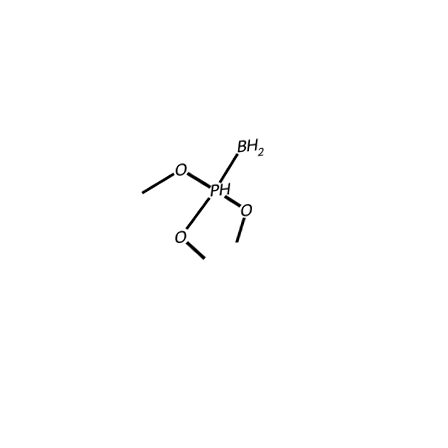 B[PH](OC)(OC)OC